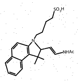 CC(=O)NC=CC1N(CCCCS(=O)(=O)O)c2ccc3ccccc3c2C1(C)C